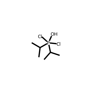 CC(C)P(O)(Cl)(Cl)C(C)C